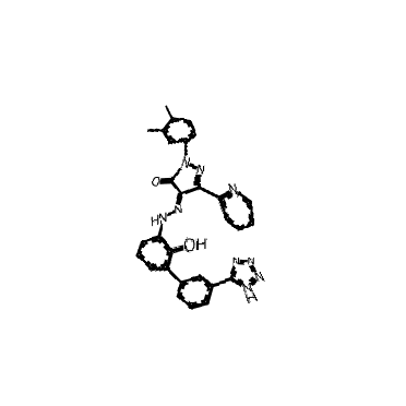 Cc1ccc(N2N=C(c3ccccn3)C(=NNc3cccc(-c4cccc(-c5nnn[nH]5)c4)c3O)C2=O)cc1C